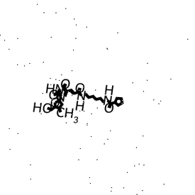 CC1CC(n2cc(/C=C/C(=O)NCCCCCCNC(=O)C3CCCC3)c(=O)[nH]c2=O)OC1CO